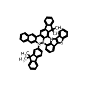 CC1(C)c2ccccc2-c2ccc(N3B4c5c(cc6c(c5-n5c7c4cccc7c4sc7ccccc7c45)C(C)(C)c4ccccc4-6)-c4cc5ccccc5cc43)cc21